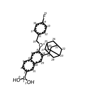 OB(O)c1ccc2cc(OCc3ccc(F)cc3)c(C34CC5CC(CC(C5)C3)C4)cc2c1